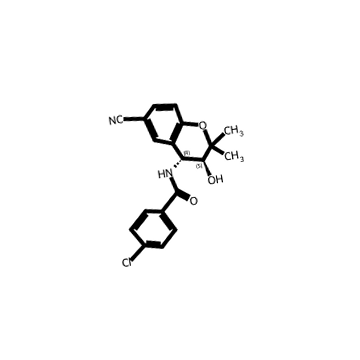 CC1(C)Oc2ccc(C#N)cc2[C@@H](NC(=O)c2ccc(Cl)cc2)[C@@H]1O